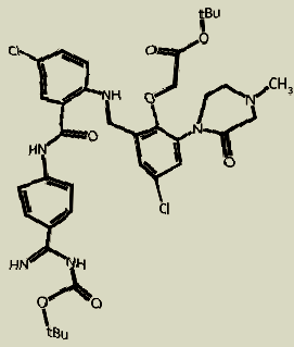 CN1CCN(c2cc(Cl)cc(CNc3ccc(Cl)cc3C(=O)Nc3ccc(C(=N)NC(=O)OC(C)(C)C)cc3)c2OCC(=O)OC(C)(C)C)C(=O)C1